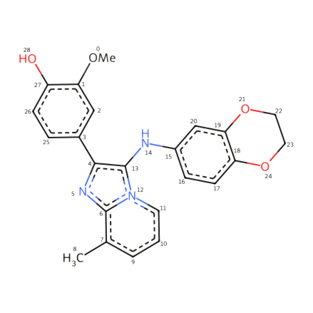 COc1cc(-c2nc3c(C)cccn3c2Nc2ccc3c(c2)OCCO3)ccc1O